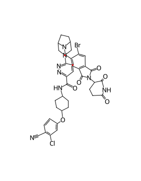 N#Cc1ccc(OC2CCC(NC(=O)c3ccc(N4CC5CCC(C4)N5Cc4cc5c(cc4Br)C(=O)N(C4CCC(=O)NC4=O)C5=O)nn3)CC2)cc1Cl